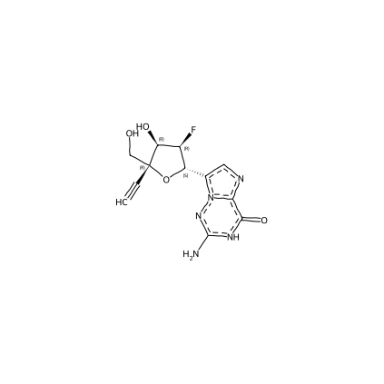 C#C[C@]1(CO)O[C@@H](c2cnc3c(=O)[nH]c(N)nn23)[C@H](F)[C@@H]1O